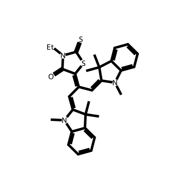 CCN1C(=O)C(=C(C=C2N(C)c3ccccc3C2(C)C)C=C2N(C)c3ccccc3C2(C)C)SC1=S